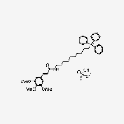 COc1cc(C=CC(=O)NCCCCCCCCCC[P+](c2ccccc2)(c2ccccc2)c2ccccc2)cc(OC)c1OC.CS(=O)(=O)[O-]